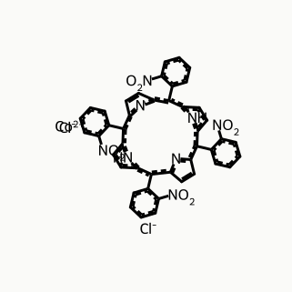 O=[N+]([O-])c1ccccc1-c1c2nc(c(-c3ccccc3[N+](=O)[O-])c3ccc([nH]3)c(-c3ccccc3[N+](=O)[O-])c3nc(c(-c4ccccc4[N+](=O)[O-])c4ccc1[nH]4)C=C3)C=C2.[Cl-].[Cl-].[Co+2]